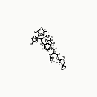 CC(C)OP(=O)(OC(C)C)C(Cc1cc[n+](CC(CNC(=O)OC(C)(C)C)N=[N+]=N)cc1)P(=O)(OC(C)C)OC(C)C